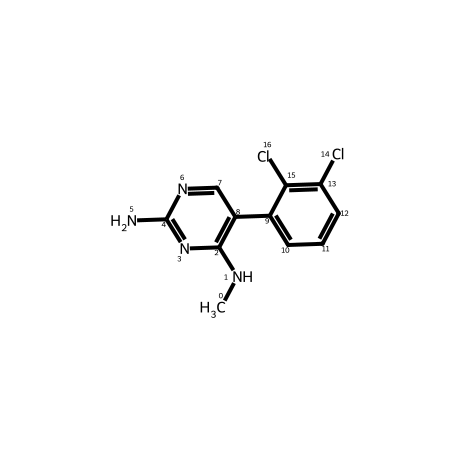 CNc1nc(N)ncc1-c1cccc(Cl)c1Cl